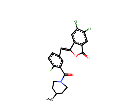 COC1CCN(C(=O)c2cc(/C=C3\OC(=O)c4cc(Cl)c(Cl)cc43)ccc2F)CC1